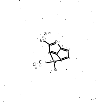 CCC1=PC2=CC=C3C2=C1[Si]3(C)C.[Cl-].[Cl-].[Zr+2]